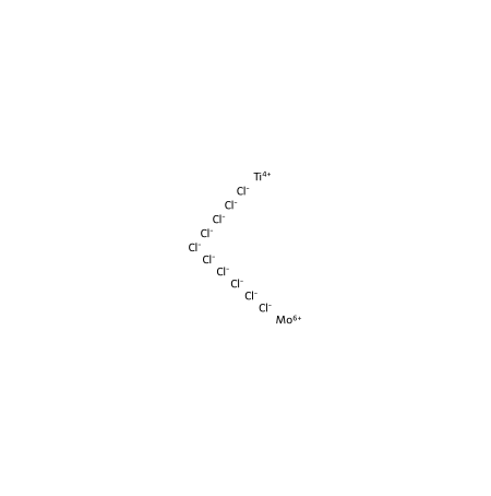 [Cl-].[Cl-].[Cl-].[Cl-].[Cl-].[Cl-].[Cl-].[Cl-].[Cl-].[Cl-].[Mo+6].[Ti+4]